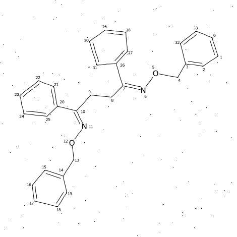 c1ccc(CON=C(CCC(=NOCc2ccccc2)c2ccccc2)c2ccccc2)cc1